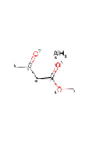 COC(=O)CC(C)=O.[AlH3]